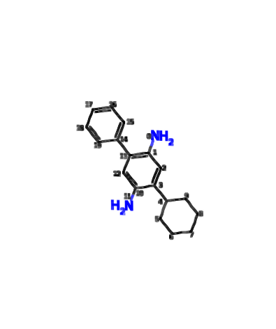 Nc1cc(C2CCCCC2)c(N)cc1-c1ccccc1